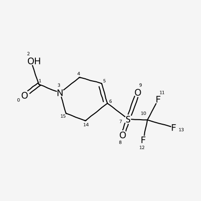 O=C(O)N1CC=C(S(=O)(=O)C(F)(F)F)CC1